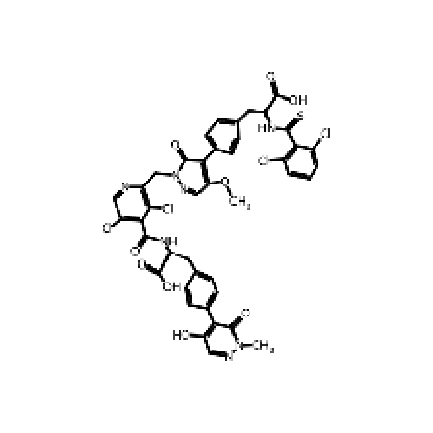 COc1cnn(Cc2ncc(Cl)c(C(=O)N[C@@H](Cc3ccc(-c4c(O)cnn(C)c4=O)cc3)C(=O)O)c2Cl)c(=O)c1-c1ccc(C[C@H](NC(=S)c2c(Cl)cccc2Cl)C(=O)O)cc1